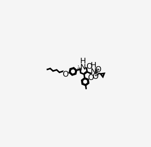 CCCCCCOc1ccc([C@]2(C)CC(c3ccc(C)cc3)=C(C(=O)NS(=O)(=O)C3CC3)C(=O)N2)cc1